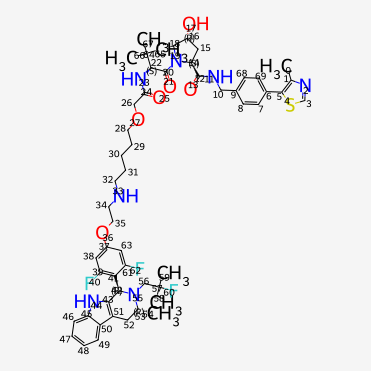 Cc1ncsc1-c1ccc(CNC(=O)[C@@H]2C[C@@H](O)CN2C(=O)[C@@H](NC(=O)COCCCCCNCCOc2cc(F)c([C@@H]3c4[nH]c5ccccc5c4C[C@@H](C)N3CC(C)(C)F)c(F)c2)C(C)(C)C)cc1